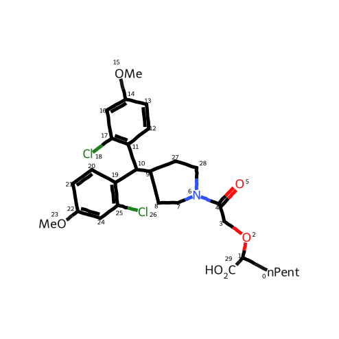 CCCCCC(OCC(=O)N1CCC(C(c2ccc(OC)cc2Cl)c2ccc(OC)cc2Cl)CC1)C(=O)O